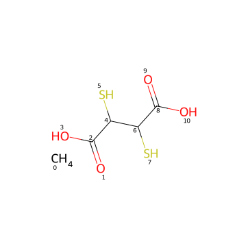 C.O=C(O)C(S)C(S)C(=O)O